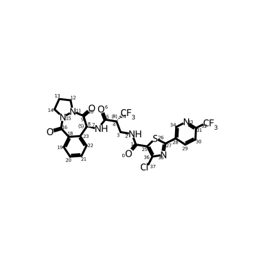 O=C(NC[C@H](C(=O)N[C@@H]1C(=O)N2CCCN2C(=O)c2ccccc21)C(F)(F)F)c1sc(-c2ccc(C(F)(F)F)nc2)nc1Cl